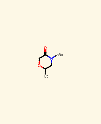 CCCCN1CC(CC)OCC1=O